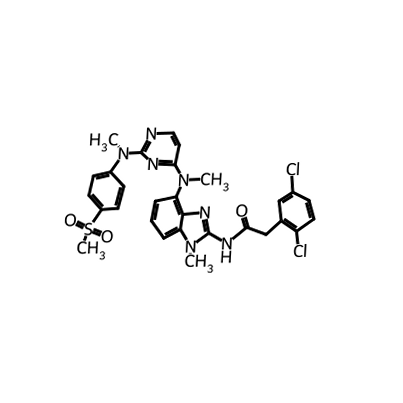 CN(c1ccc(S(C)(=O)=O)cc1)c1nccc(N(C)c2cccc3c2nc(NC(=O)Cc2cc(Cl)ccc2Cl)n3C)n1